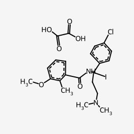 COc1cccc(C(=O)NC(I)(CCN(C)C)c2ccc(Cl)cc2)c1C.O=C(O)C(=O)O